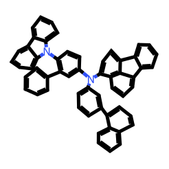 c1ccc(-c2cc(N(c3cccc(-c4cccc5ccccc45)c3)c3ccc4c5c(cccc35)-c3ccccc3-4)ccc2-n2c3ccccc3c3ccccc32)cc1